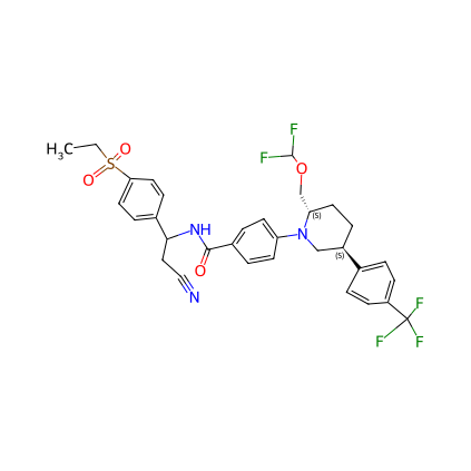 CCS(=O)(=O)c1ccc(C(CC#N)NC(=O)c2ccc(N3C[C@H](c4ccc(C(F)(F)F)cc4)CC[C@H]3COC(F)F)cc2)cc1